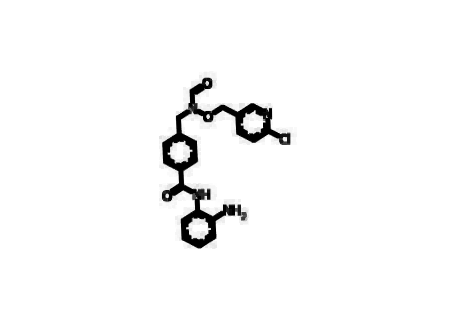 Nc1ccccc1NC(=O)c1ccc(CN(C=O)OCc2ccc(Cl)nc2)cc1